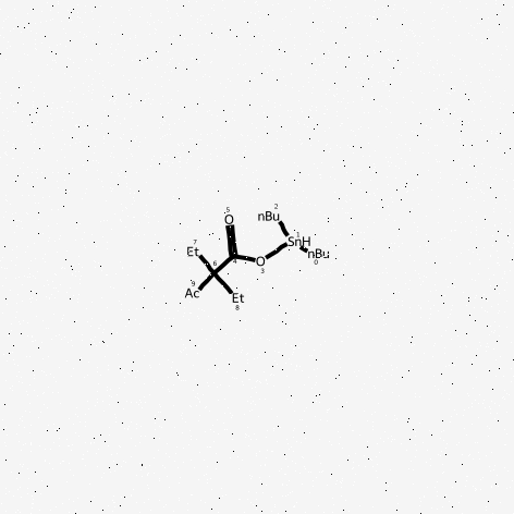 CCC[CH2][SnH]([CH2]CCC)[O]C(=O)C(CC)(CC)C(C)=O